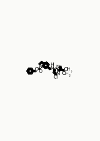 CC(C)c1cnn2c(NCc3ccc4c(c3)N(C(=O)OCc3ccccc3)CC4)cc(Cl)nc12